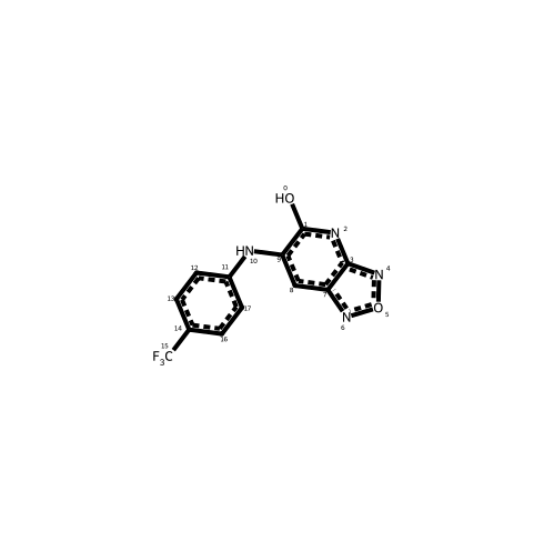 Oc1nc2nonc2cc1Nc1ccc(C(F)(F)F)cc1